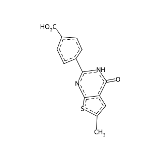 Cc1cc2c(=O)[nH]c(-c3ccc(C(=O)O)cc3)nc2s1